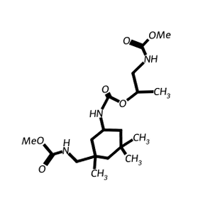 COC(=O)NCC(C)OC(=O)NC1CC(C)(C)CC(C)(CNC(=O)OC)C1